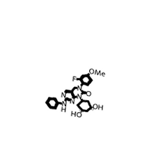 COc1ccc(N2Cc3cnc(Nc4ccccc4)nc3N(C3C[C@@H](O)C[C@@H](O)C3)C2=O)c(F)c1